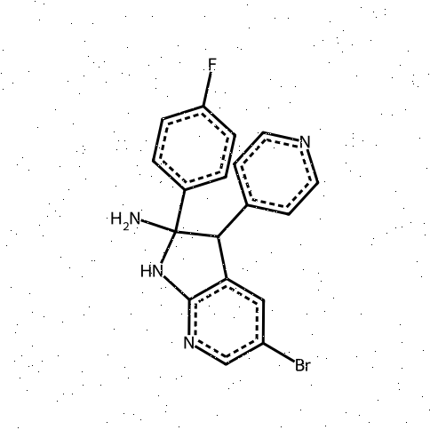 NC1(c2ccc(F)cc2)Nc2ncc(Br)cc2C1c1ccncc1